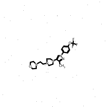 Cc1nn(-c2ccc(OC(F)(F)F)cc2)cc1N1CCN(CCN2CCOCC2)CC1